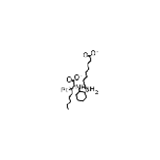 CCCCCCCC(=O)[O-].CCCCCCCC(=O)[O-].N[C@@H]1CCCC[C@H]1N.[Pt+2]